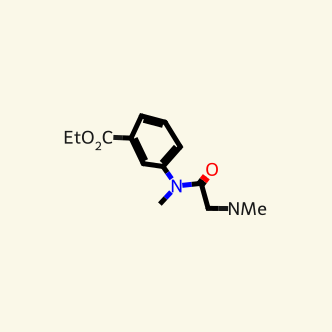 CCOC(=O)c1cccc(N(C)C(=O)CNC)c1